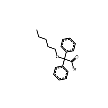 CCCCCOC(C(=O)Br)(c1ccccc1)c1ccccc1